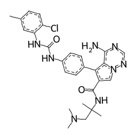 Cc1ccc(Cl)c(NC(=O)Nc2ccc(-c3c(C(=O)NC(C)(C)CN(C)C)cn4ncnc(N)c34)cc2)c1